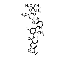 Cc1c(NC(=O)c2cc3c(cc2F)C2(CC2)CO3)cc(F)cc1-c1ncnc(N)c1OCCN(C)C(=O)OC(C)(C)C